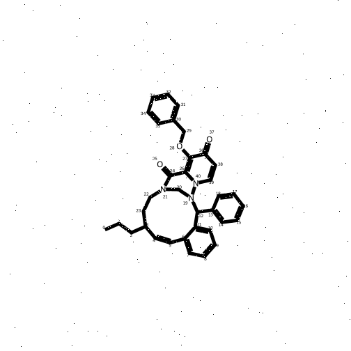 CCCC1/C=C\c2ccccc2C(c2ccccc2)N2CN(CC1)C(=O)c1c(OCc3ccccc3)c(=O)ccn12